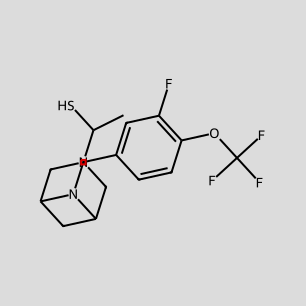 CC(S)N1CC2CC(C1)N2Cc1ccc(OC(F)(F)F)c(F)c1